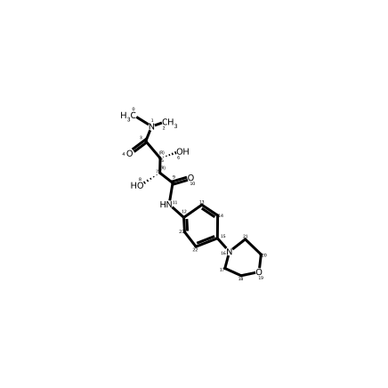 CN(C)C(=O)[C@H](O)[C@@H](O)C(=O)Nc1ccc(N2CCOCC2)cc1